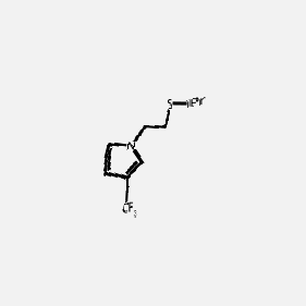 CC(C)SCCn1ccc(C(F)(F)F)c1